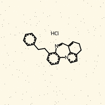 C1=Nc2c(CCc3ccccc3)cccc2-n2ccc3c2C1=CCC3.Cl